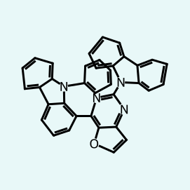 c1ccc(-n2c3ccccc3c3cccc(-c4nc(-n5c6ccccc6c6ccccc65)nc5ccoc45)c32)cc1